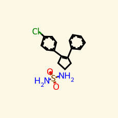 Clc1ccc(C2=C(c3ccccc3)CCC2)cc1.NS(N)(=O)=O